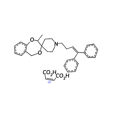 CC1Oc2ccccc2COC12CCN(CCC=C(c1ccccc1)c1ccccc1)CC2.O=C(O)/C=C\C(=O)O